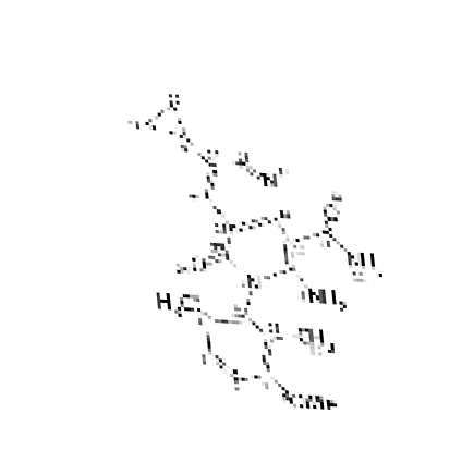 COc1ccc(C)c(-n2c(N)c(C(N)=O)c3ncc(C4CC4)cc3c2=O)c1C